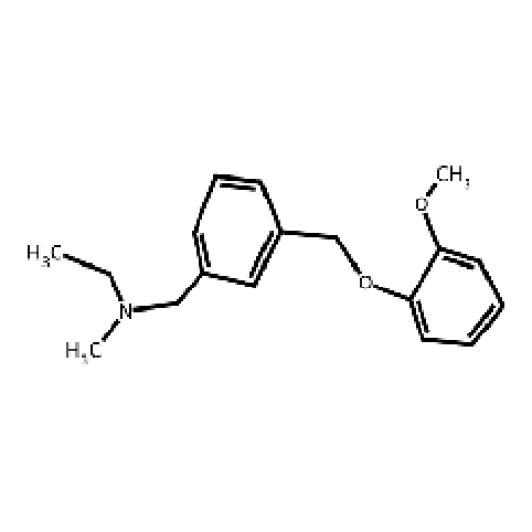 CCN(C)Cc1cccc(COc2ccccc2OC)c1